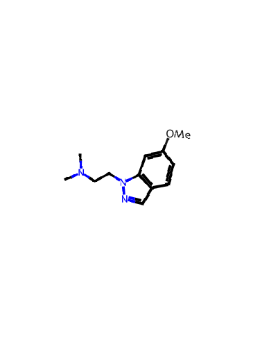 COc1ccc2cnn(CCN(C)C)c2c1